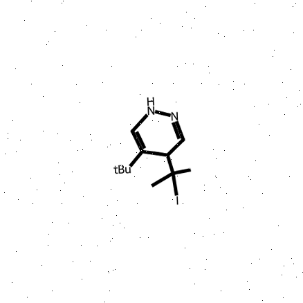 CC(C)(C)C1=CNN=CC1C(C)(C)I